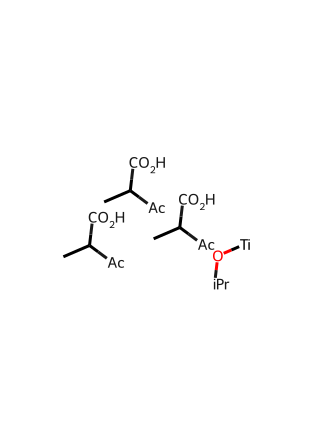 CC(=O)C(C)C(=O)O.CC(=O)C(C)C(=O)O.CC(=O)C(C)C(=O)O.CC(C)[O][Ti]